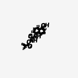 C=C(C)C(=O)ONC(=O)Nc1cccc2c(O)cccc12